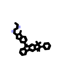 C/C=C\C=C/C1=Cc2cc(-n3c4ccccc4c4cc5c(cc43)C(C)(C)C(c3ccccc3)=N5)ccc2C1C